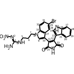 NC(=N[N+](=O)[O-])NCCCn1cc(C2=C(c3c[nH]c4ccccc34)C(=O)NC2=O)c2cc(Br)ccc21